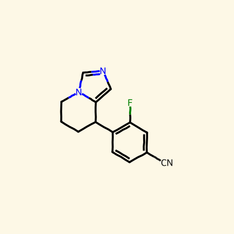 N#Cc1ccc(C2CCCn3cncc32)c(F)c1